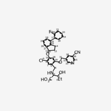 CCC(O)C(NCc1cc(Cl)c(O[C@H]2CCc3c(-c4ccccc4F)cccc32)cc1OCc1cncc(C#N)c1)C(=O)O